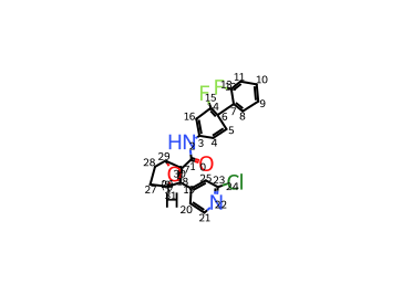 O=C(Nc1ccc(-c2ccccc2F)c(F)c1)C1=C(c2ccnc(Cl)c2)[C@@H]2CCC1O2